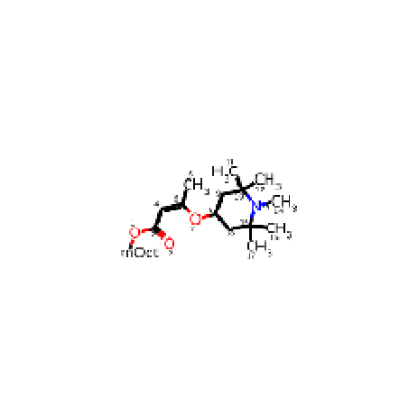 CCCCCCCCOC(=O)/C=C(/C)OC1CC(C)(C)N(C)C(C)(C)C1